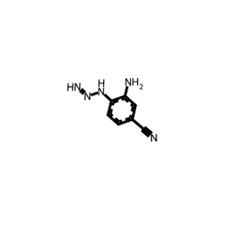 N#Cc1ccc(NN=N)c(N)c1